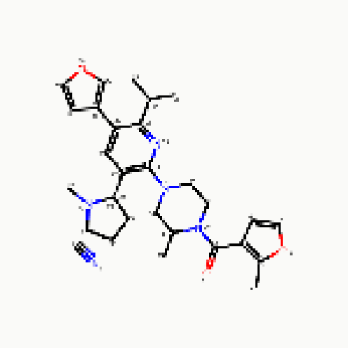 C#N.Cc1occc1C(=O)N1CCN(c2nc(C(C)C)c(-c3ccoc3)cc2[C@H]2CCCN2C)CC1C